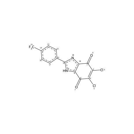 O=C1C(Cl)=C(Cl)C(=O)c2[nH]c(-c3ccc(C(F)(F)F)cc3)nc21